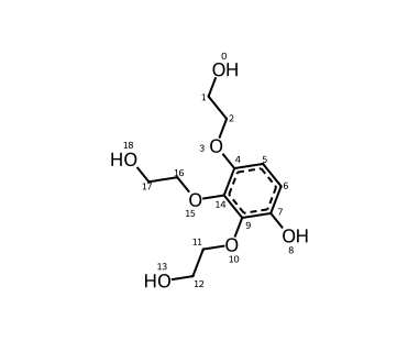 OCCOc1ccc(O)c(OCCO)c1OCCO